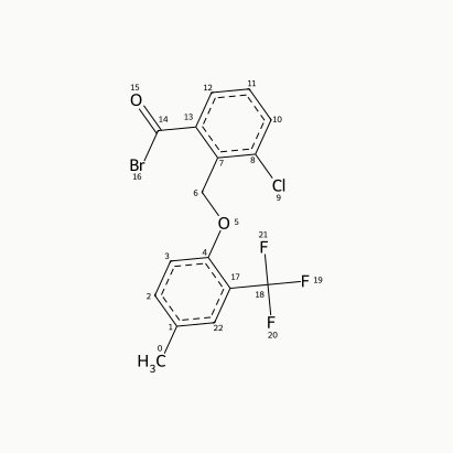 Cc1ccc(OCc2c(Cl)cccc2C(=O)Br)c(C(F)(F)F)c1